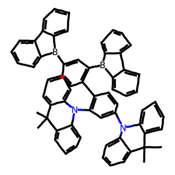 CC1(C)c2ccccc2N(c2ccc(-c3ccc(B4c5ccccc5-c5ccccc54)cc3B3c4ccccc4-c4ccccc43)c(N3c4ccccc4C(C)(C)c4ccccc43)c2)c2ccccc21